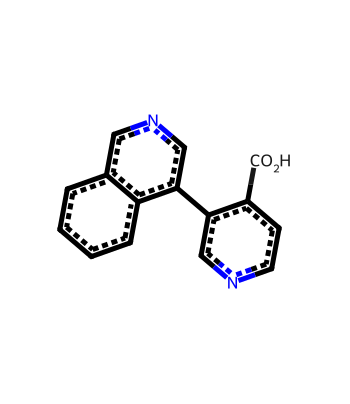 O=C(O)c1ccncc1-c1cncc2ccccc12